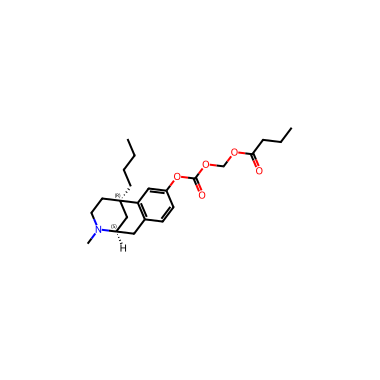 CCCC[C@]12CCN(C)[C@H](Cc3ccc(OC(=O)OCOC(=O)CCC)cc31)C2